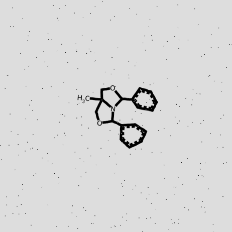 CC12COC(c3ccccc3)N1C(c1ccccc1)OC2